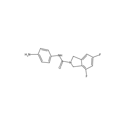 Nc1ccc(NC(=O)N2Cc3cc(F)cc(F)c3C2)cc1